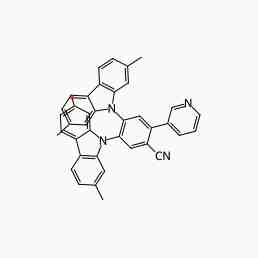 Cc1ccc2c3ccc(C)cc3n(-c3cc(C#N)c(-c4cccnc4)cc3-n3c4cc(C)ccc4c4ccc(C)cc43)c2c1